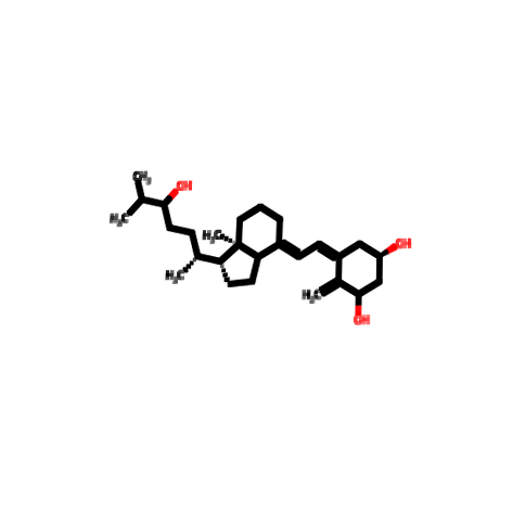 C=C1/C(=C\C=C2CCC[C@@]3(C)C2CC[C@@H]3[C@H](C)CCC(O)C(C)C)C[C@@H](O)CC1O